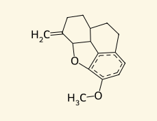 C=C1CCC2CCc3ccc(OC)c4c3C2C1O4